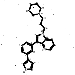 c1cnc2c(-c3cncc(-c4ccsc4)c3)cn(CCCN3CCCCC3)c2c1